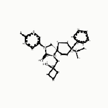 Cc1ncc(N2C[C@]3(CC[C@](c4ccccc4)(N(C)C)CC3)N(CC3(O)CCC3)C2=O)cn1